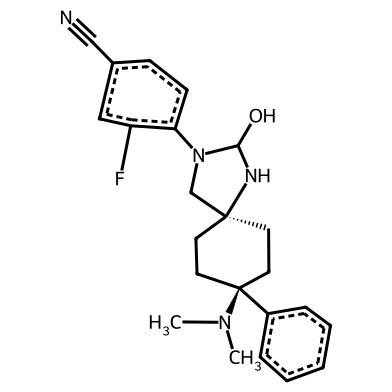 CN(C)[C@]1(c2ccccc2)CC[C@]2(CC1)CN(c1ccc(C#N)cc1F)C(O)N2